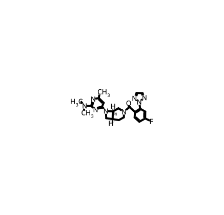 Cc1cc(N2C[C@@H]3CCN(C(=O)c4ccc(F)cc4-n4nccn4)C[C@@H]32)nc(N(C)C)n1